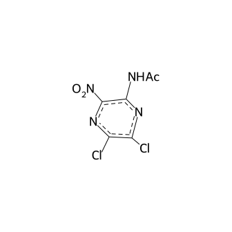 CC(=O)Nc1nc(Cl)c(Cl)nc1[N+](=O)[O-]